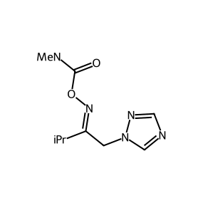 CNC(=O)ON=C(Cn1cncn1)C(C)C